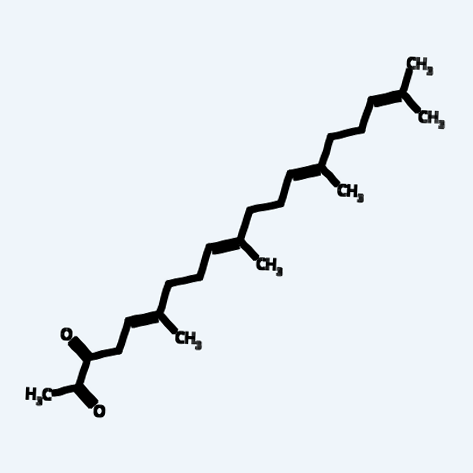 CC(=O)C(=O)C/C=C(\C)CC/C=C(\C)CC/C=C(\C)CCC=C(C)C